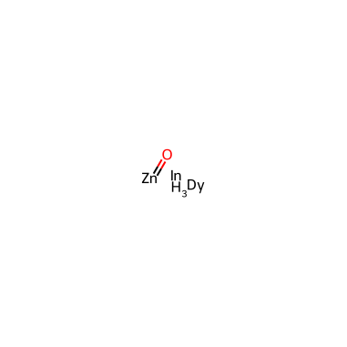 [Dy].[InH3].[O]=[Zn]